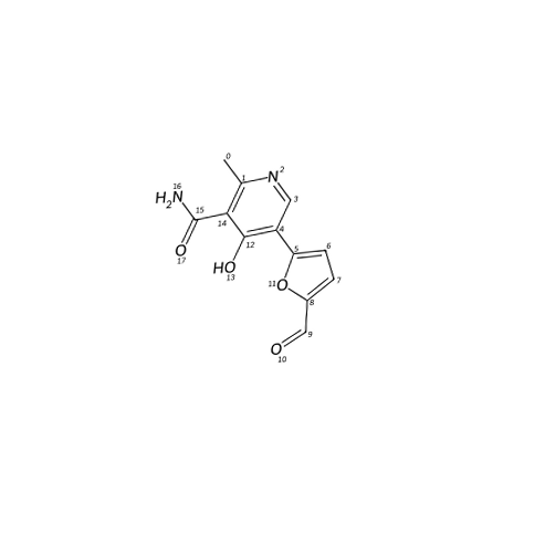 Cc1ncc(-c2ccc(C=O)o2)c(O)c1C(N)=O